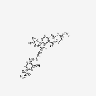 CN1CC[C@@H](Nc2cccc3c2cc(C#CCNc2ccc(S(C)(=O)=O)cc2O)n3CC(F)(F)F)[C@@H](F)C1